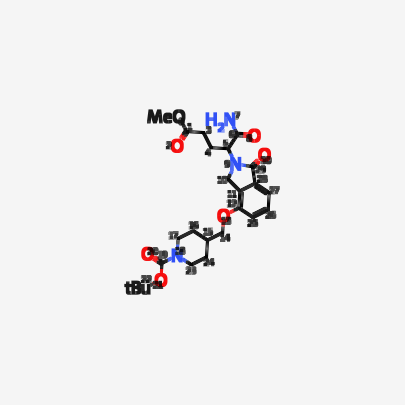 COC(=O)CCC(C(N)=O)N1Cc2c(OCC3CCN(C(=O)OC(C)(C)C)CC3)cccc2C1=O